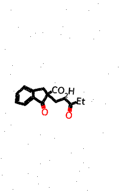 CCC(=O)CCC1(C(=O)O)Cc2ccccc2C1=O